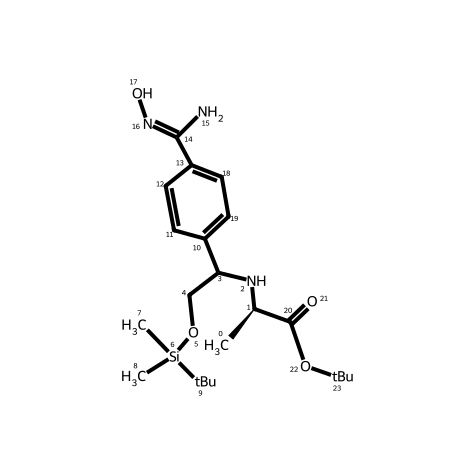 C[C@@H](NC(CO[Si](C)(C)C(C)(C)C)c1ccc(/C(N)=N/O)cc1)C(=O)OC(C)(C)C